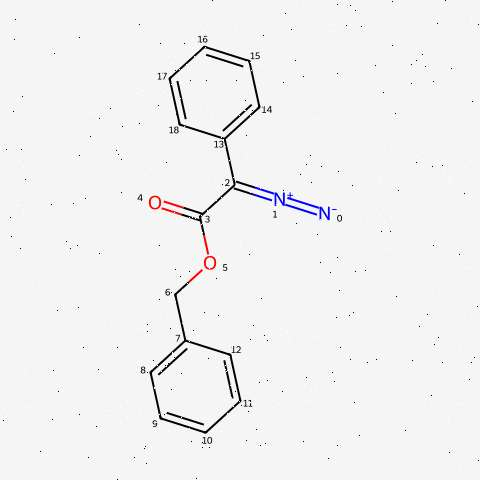 [N-]=[N+]=C(C(=O)OCc1ccccc1)c1ccccc1